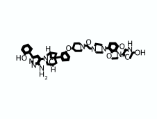 Nc1nnc(-c2ccccc2O)cc1N1C[C@@H]2CC3[C@H](C1)CC3(c1cccc(OC3CCN(C(=O)CN4CCN(c5cccc6c5OCCN6[C@H]5CCC(O)NC5=O)CC4)CC3)c1)C2